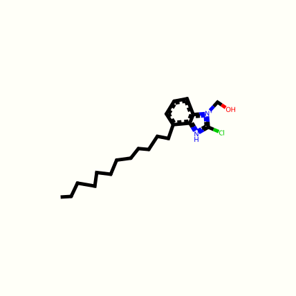 CCCCCCCCCCCCc1cccc2c1[nH]c(Cl)[n+]2CO